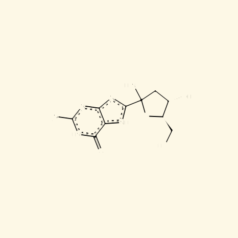 Nc1nc2nc(C3(N)C[C@H](O)[C@@H](CO)O3)[nH]c2c(=O)[nH]1